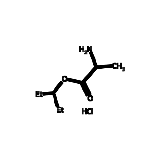 CCC(CC)OC(=O)C(C)N.Cl